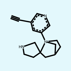 C#Cc1cncc([N+]23CCC(CC24CCNC4)C3)c1